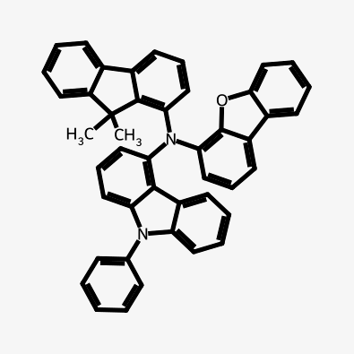 CC1(C)c2ccccc2-c2cccc(N(c3cccc4c3oc3ccccc34)c3cccc4c3c3ccccc3n4-c3ccccc3)c21